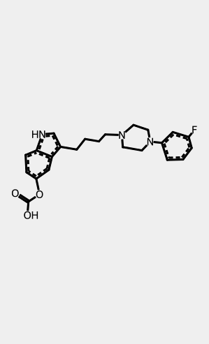 O=C(O)Oc1ccc2[nH]cc(CCCCN3CCN(c4cccc(F)c4)CC3)c2c1